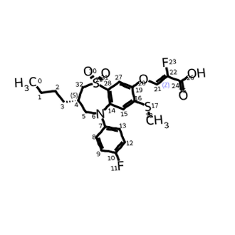 CCCC[C@H]1CN(c2ccc(F)cc2)c2cc(SC)c(O/C=C(\F)C(=O)O)cc2S(=O)(=O)C1